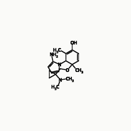 CC1=C(O)C=CC(C)(OCC2(N(C)C)CC2)C1n1cccc1N